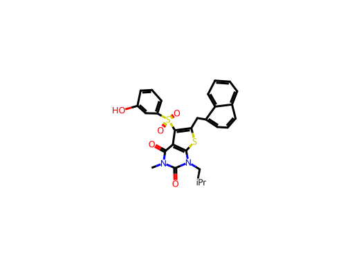 CC(C)Cn1c(=O)n(C)c(=O)c2c(S(=O)(=O)c3cccc(O)c3)c(Cc3cccc4ccccc34)sc21